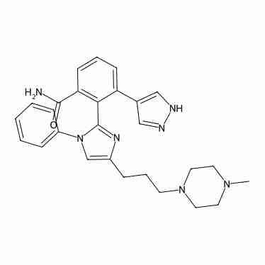 CN1CCN(CCCc2cn(-c3ccccc3)c(-c3c(C(N)=O)cccc3-c3cn[nH]c3)n2)CC1